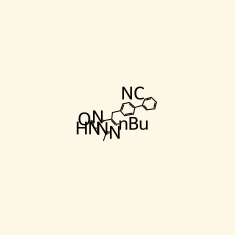 CCCCc1nc(C)n2[nH]c(=O)nc2c1Cc1ccc(-c2ccccc2C#N)cc1